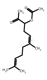 CC(=O)OC(C/C=C(/C)CCC=C(C)C)C(C)=O